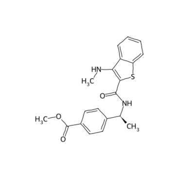 CNc1c(C(=O)N[C@@H](C)c2ccc(C(=O)OC)cc2)sc2ccccc12